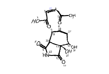 O=C(O)/C=C\C(=O)O.O=C1NC(=O)C2(O)C(O)CCCC12